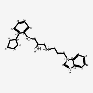 OC(CNCCCn1cnc2ccccc21)COc1ccccc1C1CCCC1